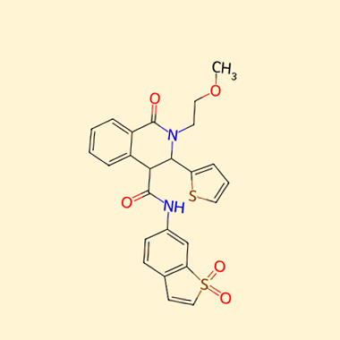 COCCN1C(=O)c2ccccc2C(C(=O)Nc2ccc3c(c2)S(=O)(=O)C=C3)C1c1cccs1